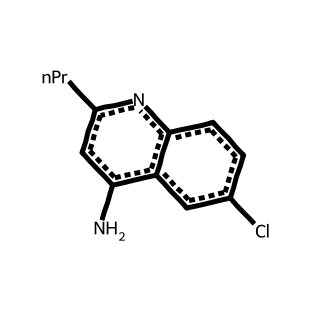 CCCc1cc(N)c2cc(Cl)ccc2n1